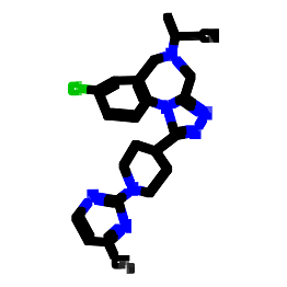 CC(C#N)N1Cc2cc(Cl)ccc2-n2c(nnc2C2CCN(c3nccc(C(F)(F)F)n3)CC2)C1